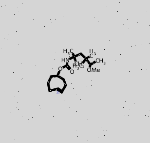 COC(C)C(C)(C)CC(C)(C)NC(=O)OC1CC/C=C/CCC1